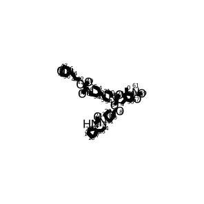 Cc1cc(C[C@@H](OC(=O)N2CCC(N3CCc4ccccc4NC3=O)CC2)C(=O)N2CCN(C3CCN(C(=O)C(=O)OCCCN4CCOCC4)CC3)CC2)cc2oc(=O)n(C)c12